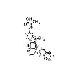 C[C@H](N=Cc1ccc2c(Nc3cccc(-c4ccc5c(c4)OCCO5)c3Br)nn(C)c2c1)C(=O)O